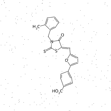 Cc1ccccc1CN1C(=O)C(=Cc2ccc(-c3ccc(C(=O)O)cc3)o2)SC1=S